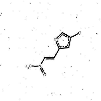 C[N+](=O)/C=C/c1cc(Cl)cs1